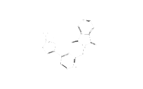 O=C(O)N1CC=C(c2ccnc(CN3C(=O)c4ccccc4C3=O)c2)C1